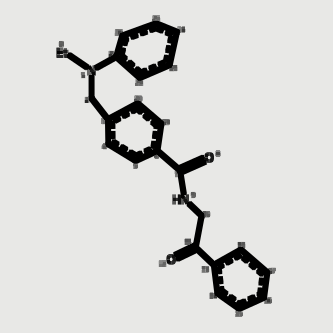 CCN(Cc1ccc(C(=O)NCC(=O)c2ccccc2)cc1)c1ccccc1